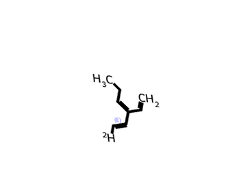 [2H]/C=C/C(C=C)=CCC